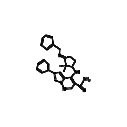 CC1(C)C(=NCc2ccccc2)CCC1Nc1c(C(N)=O)cnn2cc(-c3ccccc3)cc12